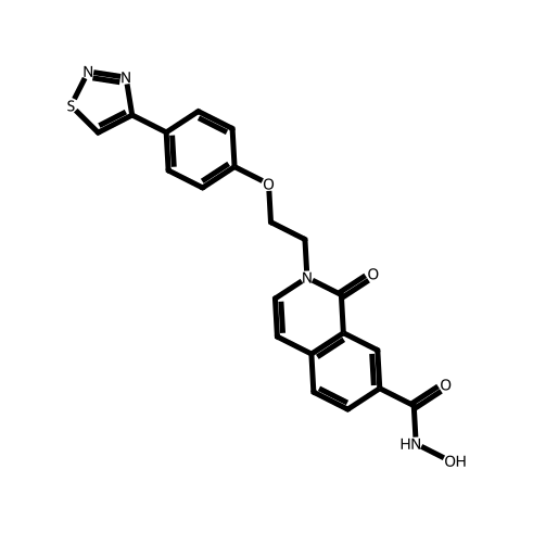 O=C(NO)c1ccc2ccn(CCOc3ccc(-c4csnn4)cc3)c(=O)c2c1